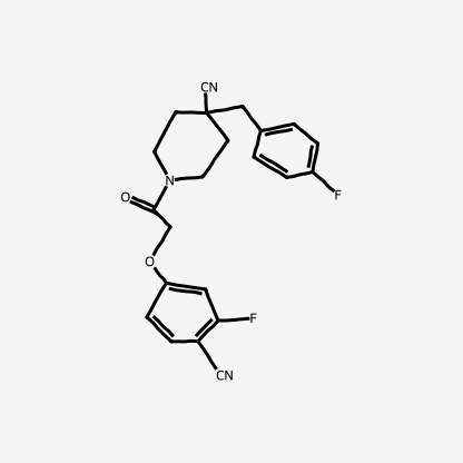 N#Cc1ccc(OCC(=O)N2CCC(C#N)(Cc3ccc(F)cc3)CC2)cc1F